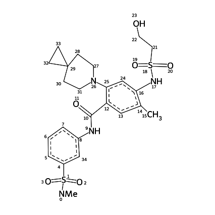 CNS(=O)(=O)c1cccc(NC(=O)c2cc(C)c(NS(=O)(=O)CCO)cc2N2CCC3(CC2)CC3)c1